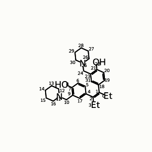 CC/C(=C(\CC)c1ccc(O)c(CN2CCCCC2)c1)c1ccc(O)c(CN2CCCCC2)c1